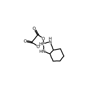 O=C1O[PH]2(NC3CCCCC3N2)OC1=O